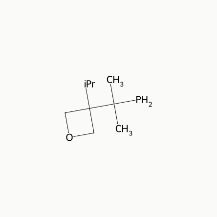 CC(C)C1(C(C)(C)P)COC1